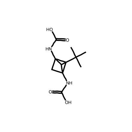 CC(C)(C)C1C2(NC(=O)O)CC1(NC(=O)O)C2